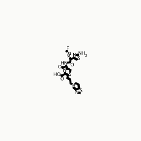 Nc1nc(C(=NOCF)C(=O)NC2C(=O)N3C(C(=O)O)=C(/C=C/C[n+]4ccc5scnc5c4)SCC23)cs1